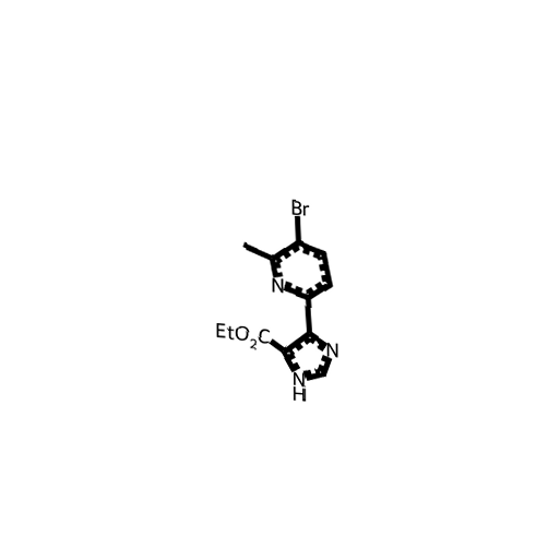 CCOC(=O)c1[nH]cnc1-c1ccc(Br)c(C)n1